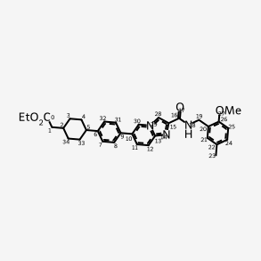 CCOC(=O)CC1CCC(c2ccc(-c3ccc4nc(C(=O)NCc5cc(C)ccc5OC)cn4c3)cc2)CC1